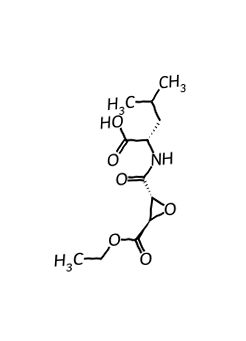 CCOC(=O)[C@@H]1O[C@H]1C(=O)N[C@@H](CC(C)C)C(=O)O